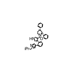 CC(C)Cn1cc(-c2ccccc2[C@@H]2CNC[C@H]2C(=O)N2CC[C@H](c3ccccc3)C[C@@H]2c2ccccc2)cn1